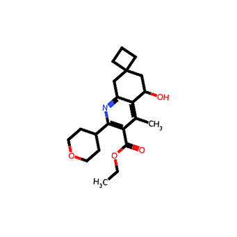 CCOC(=O)c1c(C2CCOCC2)nc2c(c1C)C(O)CC1(CCC1)C2